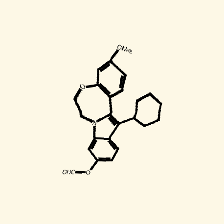 COc1ccc2c(c1)OCCn1c-2c(C2CCCCC2)c2ccc(OC=O)cc21